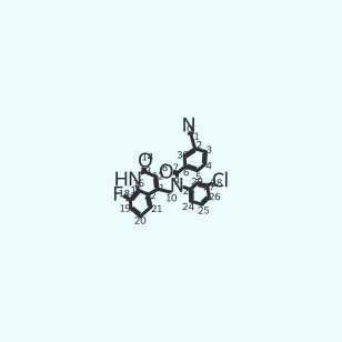 N#Cc1cccc(C(=O)N(Cc2cc(=O)[nH]c3c(F)cccc23)c2cccc(Cl)c2)c1